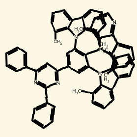 Cc1cccc2c3cccc(C)c3n(-c3cc(-c4cc(-c5ccccc5)nc(-c5ccccc5)n4)cc(-n4c5c(C)cccc5c5cccc(C)c54)c3-n3c4c(C)cccc4c4nccc(C)c43)c12